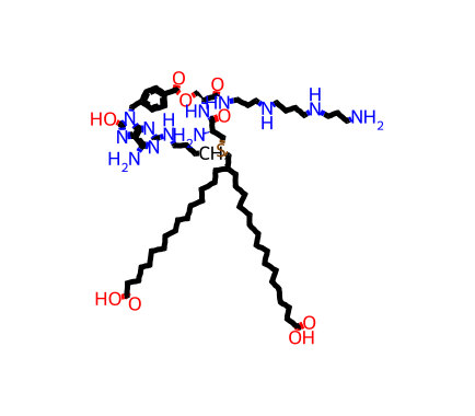 CCCCNc1nc(N)c2nc(O)n(Cc3ccc(C(=O)OC[C@H](NC(=O)[C@@H](N)CSCC(CCCCCCCCCCCCCCCCC(=O)O)CCCCCCCCCCCCCCCC(=O)O)C(=O)NCCCNCCCCNCCCN)cc3)c2n1